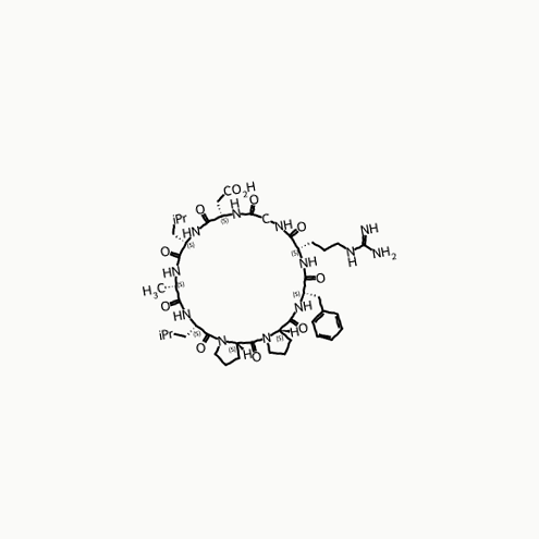 CC(C)C[C@@H]1NC(=O)[C@H](CC(=O)O)NC(=O)CNC(=O)[C@H](CCCNC(=N)N)NC(=O)[C@H](Cc2ccccc2)NC(=O)[C@@H]2CCCN2C(=O)[C@@H]2CCCN2C(=O)[C@H](CC(C)C)NC(=O)[C@H](C)NC1=O